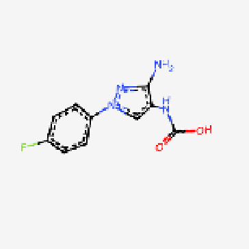 Nc1nn(-c2ccc(F)cc2)cc1NC(=O)O